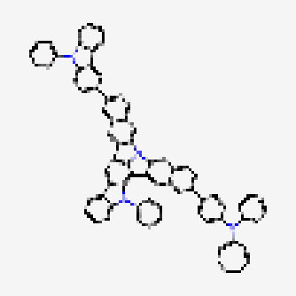 C1=CC(n2c3ccccc3c3cc(-c4ccc5cc6c(cc5c4)c4c5c(cc7c8cc9cc(-c%10ccc%11c(c%10)c%10ccccc%10n%11-c%10ccccc%10)ccc9cc8n6c74)c4ccccc4n5-c4ccccc4)ccc32)=CCCC1